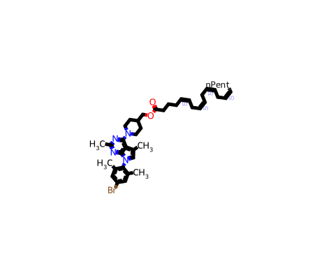 CCCCC/C=C\C/C=C\C/C=C\C/C=C\CCCC(=O)OCC1CCN(c2nc(C)nc3c2c(C)cn3-c2c(C)cc(Br)cc2C)CC1